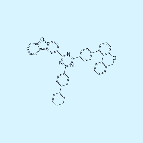 C1=CC(c2ccc(-c3nc(-c4ccc(-c5cccc6c5-c5ccccc5CO6)cc4)nc(-c4ccc5oc6ccccc6c5c4)n3)cc2)=CCC1